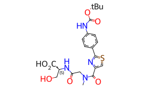 CN(CC(=O)N[C@@H](CO)C(=O)O)C(=O)c1csc(-c2ccc(NC(=O)OC(C)(C)C)cc2)n1